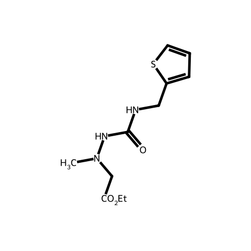 CCOC(=O)CN(C)NC(=O)NCc1cccs1